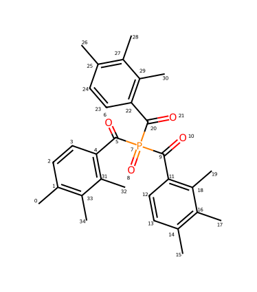 Cc1ccc(C(=O)P(=O)(C(=O)c2ccc(C)c(C)c2C)C(=O)c2ccc(C)c(C)c2C)c(C)c1C